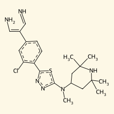 CN(c1nnc(-c2ccc(/C(C=N)=C/N)cc2Cl)s1)C1CC(C)(C)NC(C)(C)C1